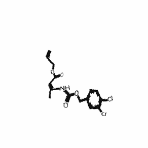 C=CCOC(=O)/C=C(/C)NC(=O)OCc1ccc(Cl)c(Cl)c1